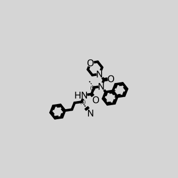 C[C@@H](C(=O)N[C@H](C#N)CCc1ccccc1)N(C(=O)N1CCOCC1)c1cccc2ccccc12